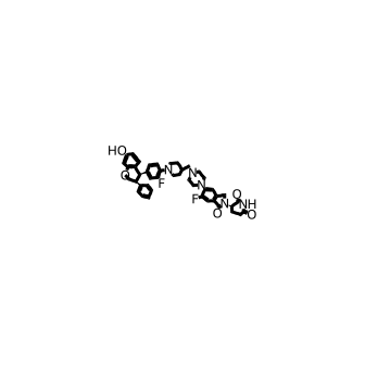 O=C1CC[C@H](N2Cc3cc(N4CCN(CC5CCN(c6ccc([C@@H]7c8ccc(O)cc8OC[C@@H]7c7ccccc7)cc6F)CC5)CC4)c(F)cc3C2=O)C(=O)N1